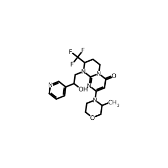 CC1COCCN1c1cc(=O)n2c(n1)N(CC(O)c1cccnc1)C(C(F)(F)F)CC2